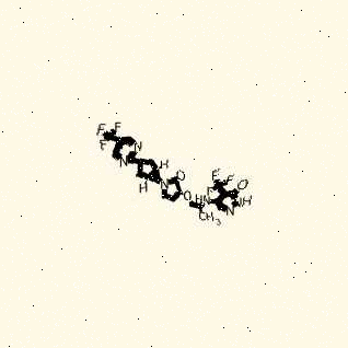 C[C@@H](CO[C@@H]1CCN(C2[C@H]3CC(c4ncc(C(F)(F)F)cn4)C[C@@H]23)C1=O)Nc1cn[nH]c(=O)c1C(F)(F)F